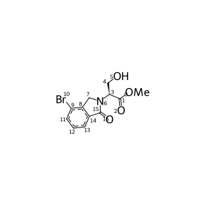 COC(=O)[C@H](CO)N1Cc2c(Br)cccc2C1=O